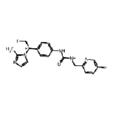 Cc1nccn1[C@@H](CF)c1ccc(NC(=O)NCc2ccc(F)cn2)cc1